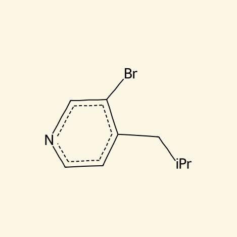 CC(C)Cc1ccncc1Br